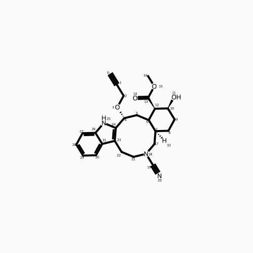 C#CCO[C@@H]1CC2[C@@H](CC[C@H](O)[C@@H]2C(=O)OC)CN(C#N)CCc2c1[nH]c1ccccc21